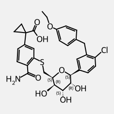 CCOc1ccc(Cc2cc([C@@H]3O[C@H](CSc4cc(C5(C(=O)O)CC5)ccc4C(N)=O)[C@H](O)[C@@H](O)[C@H]3O)ccc2Cl)cc1